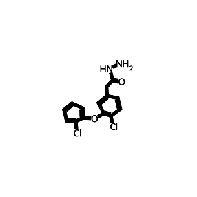 NNC(=O)Cc1ccc(Cl)c(Oc2ccccc2Cl)c1